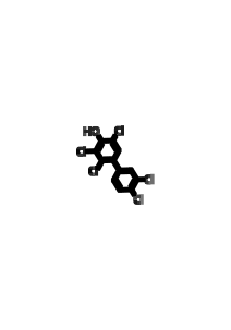 Oc1c(Cl)cc(-c2ccc(Cl)c(Cl)c2)c(Cl)c1Cl